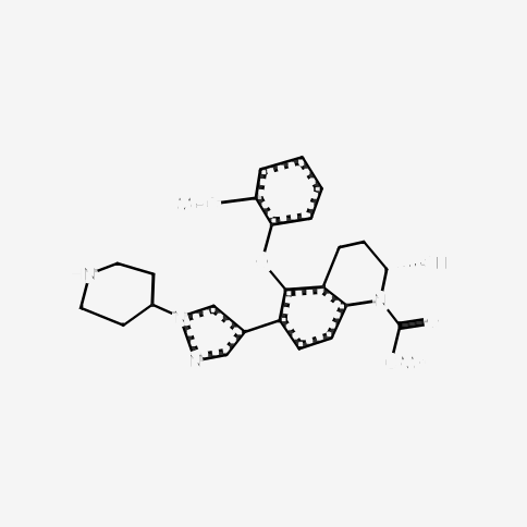 COC(=O)N1c2ccc(-c3cnn(C4CCNCC4)c3)c(Oc3ccccc3OC)c2CC[C@@H]1C